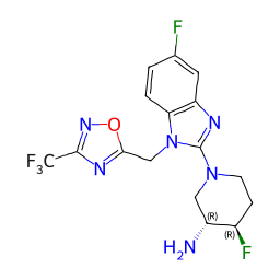 N[C@@H]1CN(c2nc3cc(F)ccc3n2Cc2nc(C(F)(F)F)no2)CC[C@H]1F